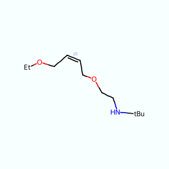 CCOC/C=C\COCCNC(C)(C)C